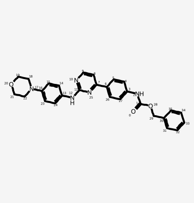 O=C(Nc1ccc(-c2ccnc(Nc3ccc(N4CCOCC4)cc3)n2)cc1)OCc1ccccc1